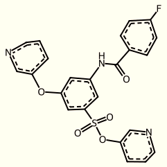 O=C(Nc1cc(Oc2cccnc2)cc(S(=O)(=O)Oc2cccnc2)c1)c1ccc(F)cc1